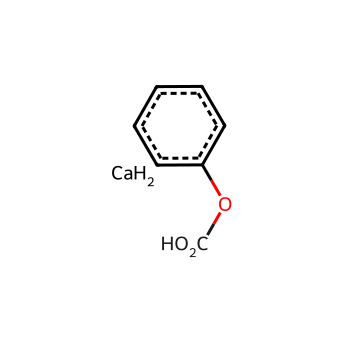 O=C(O)Oc1ccccc1.[CaH2]